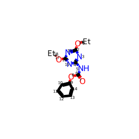 CCOc1nc(NC(=O)Oc2ccccc2)nc(OCC)n1